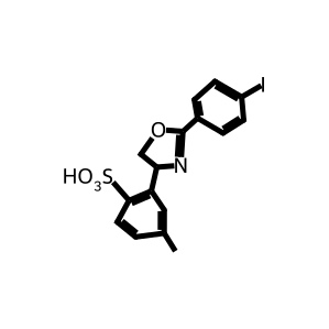 Cc1ccc(S(=O)(=O)O)c(C2COC(c3ccc(I)cc3)=N2)c1